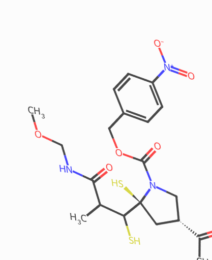 COCNC(=O)C(C)C(S)[C@@]1(S)C[C@@H](C(C)=O)CN1C(=O)OCc1ccc([N+](=O)[O-])cc1